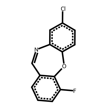 Fc1cccc2c1Oc1ccc(Cl)cc1N=C2